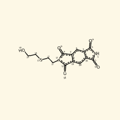 O=c1[nH]c(=O)c2cc3c(=O)n(CCSCCO)c(=O)c3cc12